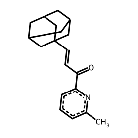 Cc1cccc(C(=O)C=CC23CC4CC(CC(C4)C2)C3)n1